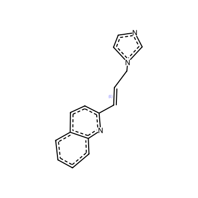 C(=C\c1ccc2ccccc2n1)/Cn1ccnc1